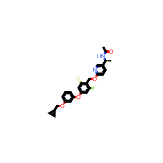 CC(=O)N[C@@H](C)c1ccc(OCc2c(F)cc(Oc3cccc(OCC4CC4)c3)cc2F)nc1